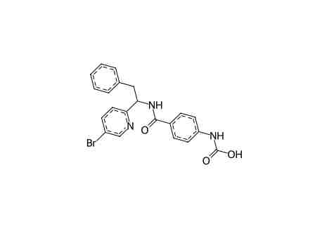 O=C(O)Nc1ccc(C(=O)NC(Cc2ccccc2)c2ccc(Br)cn2)cc1